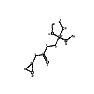 CO[Si](CCC(=O)CC1CO1)(OC)OC